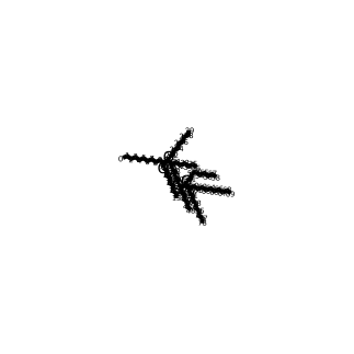 CCCCCCCCCCC(OCCCCCCCC)=C(OCCCCCCCC)C(CCCCCC)OCOCOC(CCCCCC)C(OCCCCCCCC)=C(CCCCCCCCCC)OCCCCCCCC